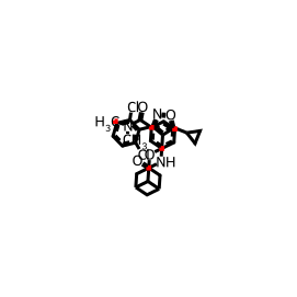 CN(C)C(=O)c1cccc(NC(=O)C2C3CC(OCc4c(-c5c(Cl)cccc5Cl)noc4C4CC4)CC2C3)c1